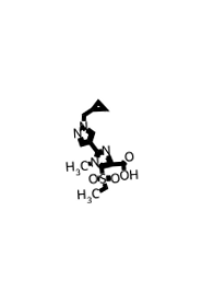 CCS(=O)(=O)c1c(C(=O)O)nc(-c2cnn(CC3CC3)c2)n1C